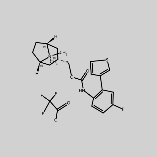 C[N+]1(C)[C@@H]2CC[C@H]1C[C@@H](COC(=O)Nc1ccc(F)cc1-c1ccsc1)C2.O=C([O-])C(F)(F)F